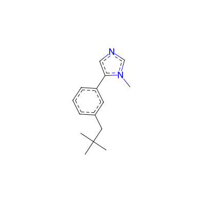 Cn1cncc1-c1cccc(CC(C)(C)C)c1